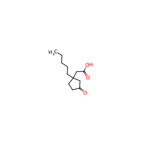 CCCCCC1(CC(=O)O)CCC(=O)C1